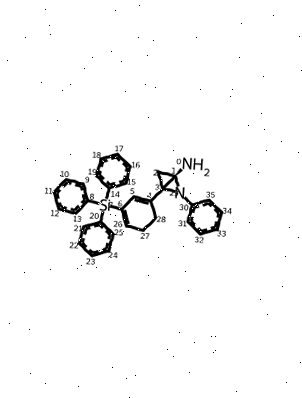 N[C@]12CC1(C1=CC([Si](c3ccccc3)(c3ccccc3)c3ccccc3)=CCC1)N2c1ccccc1